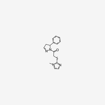 Cn1ccnc1SCC(=O)N1N=CCC1c1ccccc1